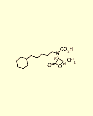 C[C@@H]1OC(=O)[C@@H]1N(CCCCCC1CCCCC1)C(=O)O